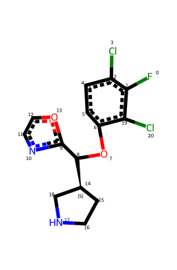 Fc1c(Cl)ccc(OC(c2ncco2)[C@H]2CCNC2)c1Cl